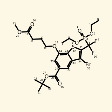 CCOP(=O)(OCC)C(F)(F)c1sc2c(OCCCC(=O)OC)cc(C(=O)OC(C)(C)C)cc2c1Br